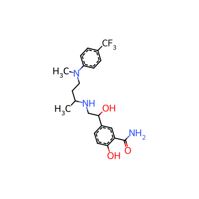 CC(CCN(C)c1ccc(C(F)(F)F)cc1)NCC(O)c1ccc(O)c(C(N)=O)c1